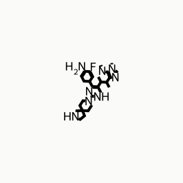 C=Nc1c(C(C)C(C)C2=C(C3C=C(F)C(N)=CC3)N=C(N3CCC4(CCNC4)CC3)NC2)ncn1C